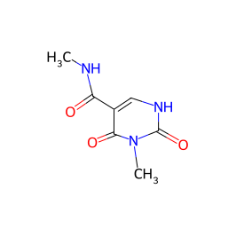 CNC(=O)c1c[nH]c(=O)n(C)c1=O